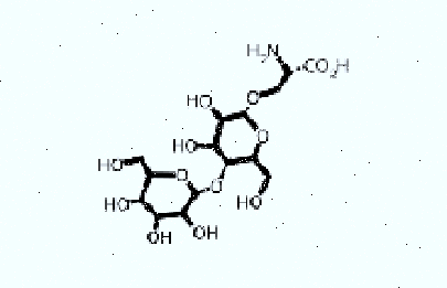 N[C@@H](CO[C@@H]1OC(CO)[C@@H](O[C@@H]2OC(CO)[C@H](O)C(O)C2O)C(O)C1O)C(=O)O